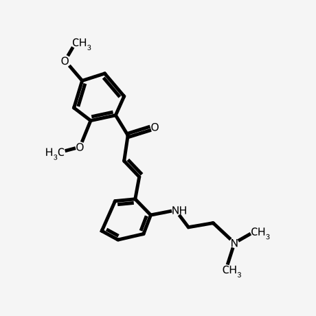 COc1ccc(C(=O)C=Cc2ccccc2NCCN(C)C)c(OC)c1